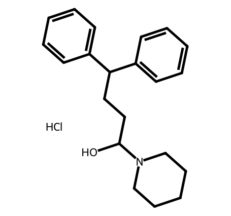 Cl.OC(CCC(c1ccccc1)c1ccccc1)N1CCCCC1